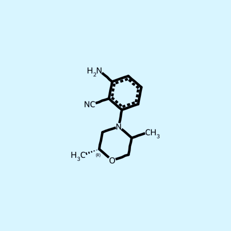 CC1CO[C@H](C)CN1c1cccc(N)c1C#N